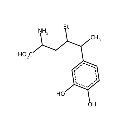 CCC(CC(N)C(=O)O)C(C)c1ccc(O)c(O)c1